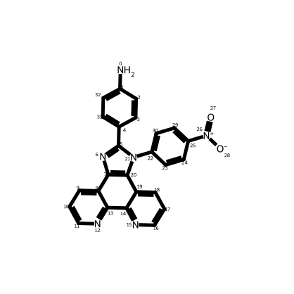 Nc1ccc(-c2nc3c4cccnc4c4ncccc4c3n2-c2ccc([N+](=O)[O-])cc2)cc1